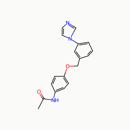 CC(=O)Nc1ccc(OCc2cccc(-n3ccnc3)c2)cc1